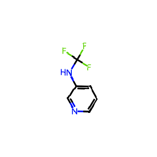 FC(F)(F)Nc1cccnc1